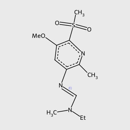 CCN(C)/C=N/c1cc(OC)c(S(C)(=O)=O)nc1C